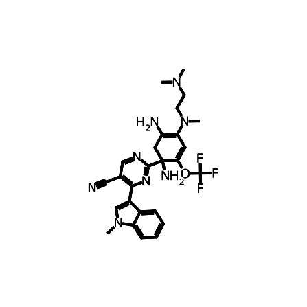 CN(C)CCN(C)C1=C(N)CC(N)(c2ncc(C#N)c(-c3cn(C)c4ccccc34)n2)C(OC(F)(F)F)=C1